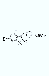 COc1ccc(CN2C(=O)C3(CC3)c3cc(Br)cc(F)c32)cc1